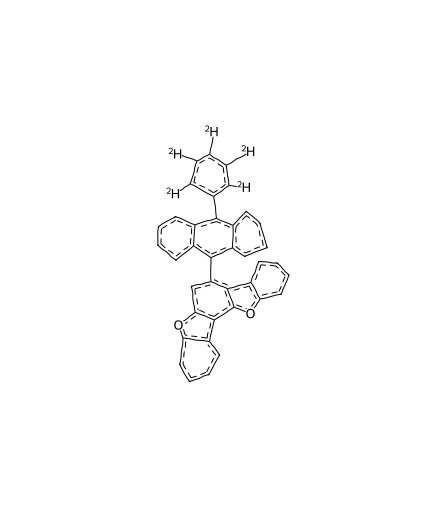 [2H]c1c([2H])c([2H])c(-c2c3ccccc3c(-c3cc4oc5ccccc5c4c4oc5ccccc5c34)c3ccccc23)c([2H])c1[2H]